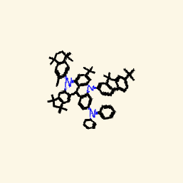 Cc1cc2c(cc1N1c3cc4c(cc3C3c5ccc(N(c6ccccc6)c6ccccc6)cc5N(c5ccc6c(c5)C(C)(C)c5cc(C(C)(C)C)ccc5-6)c5cc(C(C)(C)C)cc1c53)C(C)(C)CC4(C)C)C(C)(C)CCC2(C)C